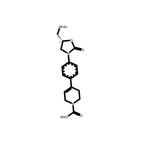 COC(=O)N1CC=C(c2ccc(N3C[C@H](CNC(C)=O)OC3=O)cc2)CC1